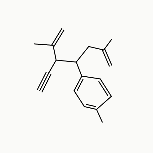 C#CC(C(=C)C)C(CC(=C)C)c1ccc(C)cc1